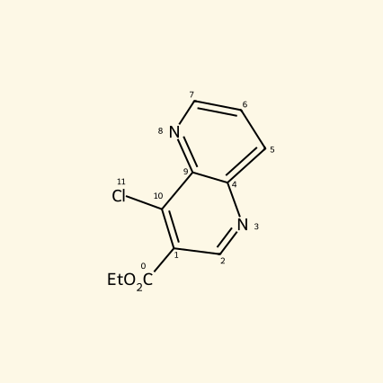 CCOC(=O)c1cnc2cccnc2c1Cl